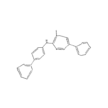 Cc1cc(-c2ccccc2)ccc1Nc1ccc(-c2ccccc2)cc1